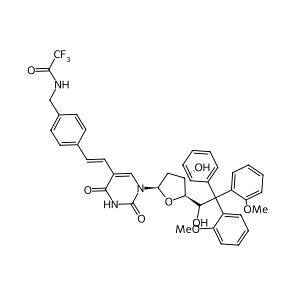 COc1ccccc1C(c1ccccc1)(c1ccccc1OC)C(O)[C@H]1O[C@@H](n2cc(/C=C/c3ccc(CNC(=O)C(F)(F)F)cc3)c(=O)[nH]c2=O)C[C@@H]1O